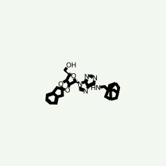 OC[C@H]1O[C@@H](n2cnc3c(NCC45CC6CC(CC(C6)C4)C5)ncnc32)C2OC3(Cc4ccccc4C3)OC21